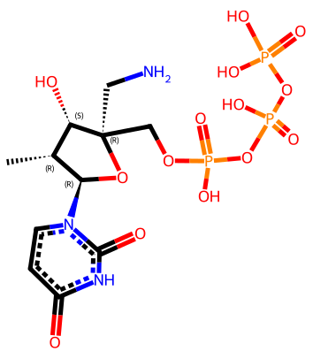 C[C@H]1[C@H](n2ccc(=O)[nH]c2=O)O[C@](CN)(COP(=O)(O)OP(=O)(O)OP(=O)(O)O)[C@H]1O